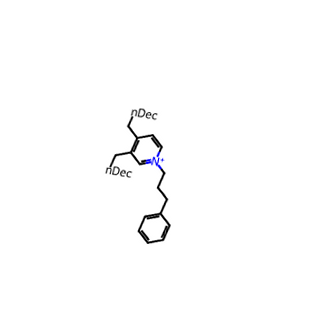 CCCCCCCCCCCc1cc[n+](CCCc2ccccc2)cc1CCCCCCCCCCC